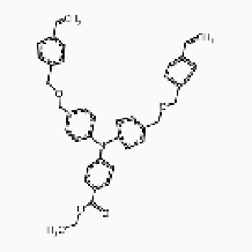 C=Cc1ccc(COCc2ccc(N(c3ccc(COCc4ccc(C=C)cc4)cc3)c3ccc(C(=O)OCC)cc3)cc2)cc1